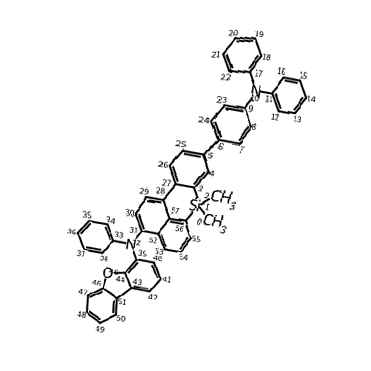 C[Si]1(C)c2cc(-c3ccc(N(c4ccccc4)c4ccccc4)cc3)ccc2-c2ccc(N(c3ccccc3)c3cccc4c3oc3ccccc34)c3cccc1c23